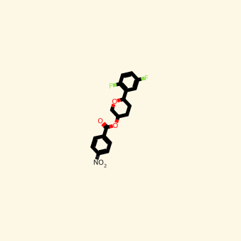 O=C(OC1CCC(c2cc(F)ccc2F)OC1)c1ccc([N+](=O)[O-])cc1